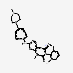 C/N=c1/c2cnc(Nc3ccc(N4CCN(C)CC4)cc3)nc2n(C)c(=O)n1-c1c(C)cccc1Cl